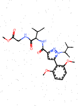 COC(=O)CNC(=O)C(NC(=O)c1cc(-c2c(OC)cccc2OC)n(C(C)C(C)C)n1)C(C)C